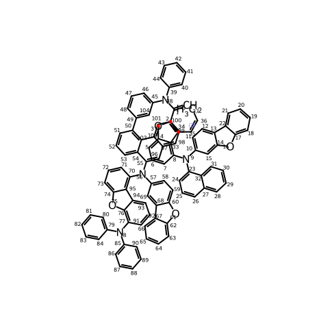 C=C(c1oc2cccc(N(c3ccc4c(c3)oc3ccccc34)c3cccc4ccccc34)c2c1/C=C\C)N(c1ccccc1)c1cccc(-c2cccc3c(N(c4ccc5oc6ccccc6c5c4)c4cccc5oc6c(N(c7ccccc7)c7ccccc7)cccc6c45)cc4ccccc4c23)c1